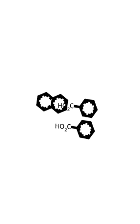 O=C(O)c1ccccc1.O=C(O)c1ccccc1.c1ccc2ccccc2c1